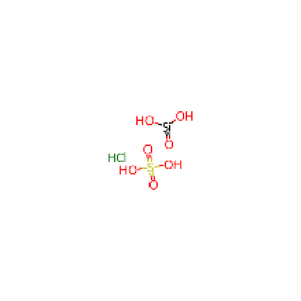 Cl.O=S(=O)(O)O.O=[Si](O)O